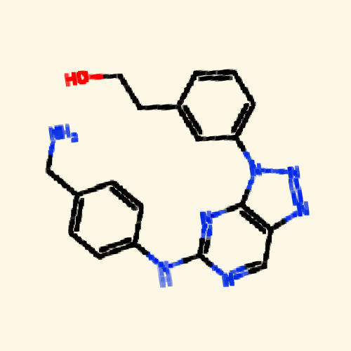 NCc1ccc(Nc2ncc3nnn(-c4cccc(CCO)c4)c3n2)cc1